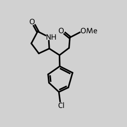 COC(=O)CC(c1ccc(Cl)cc1)C1CCC(=O)N1